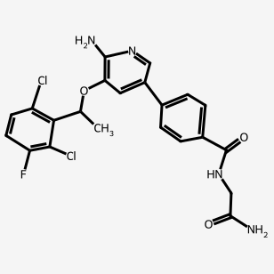 CC(Oc1cc(-c2ccc(C(=O)NCC(N)=O)cc2)cnc1N)c1c(Cl)ccc(F)c1Cl